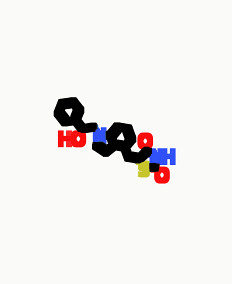 O=C1NC(=O)C(=Cc2cccc3c2ccn3CC(O)c2ccccc2)S1